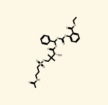 CCOC(=O)c1ccccc1OC(=O)OC(OC(=O)[C@H](O)C(C)(C)COS(=O)(=O)CCCNC(C)=O)c1ccccc1